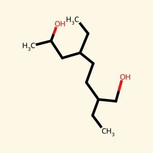 CCC(CO)CCC(CC)CC(C)O